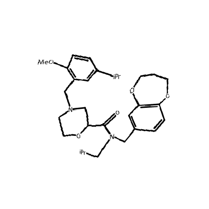 COc1ccc(C(C)C)cc1CN1CCOC(C(=O)N(Cc2ccc3c(c2)OCCCO3)CC(C)C)C1